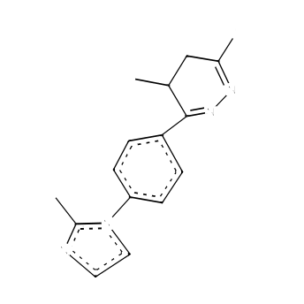 Cc1nccn1-c1ccc(C2=NN=C(S)CC2C)cc1